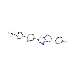 Fc1ccc(-c2ccc3cc(-c4ccc(-c5ccc(C(F)(F)F)cc5)nc4)cnc3c2)cc1